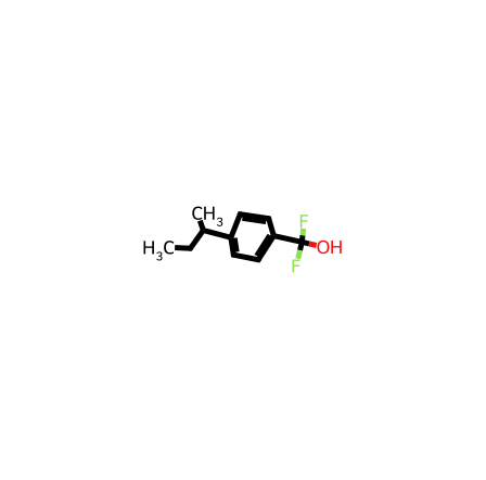 CCC(C)c1ccc(C(O)(F)F)cc1